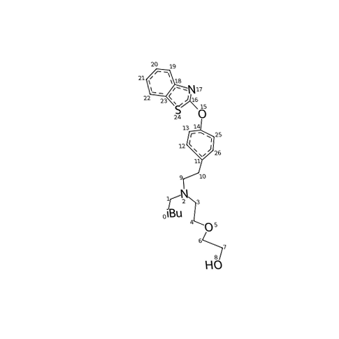 CCC(C)CN(CCOCCO)CCc1ccc(Oc2nc3ccccc3s2)cc1